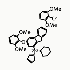 C1=CC[C]([Zr+2](=[C]2CCCCC2)[c]2cccc3c2Cc2ccccc2-3)=C1.COc1cccc(OC)c1[O-].COc1cccc(OC)c1[O-]